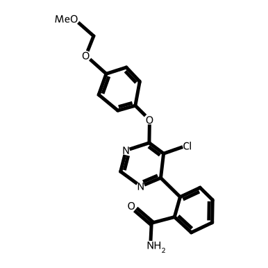 COCOc1ccc(Oc2ncnc(-c3ccccc3C(N)=O)c2Cl)cc1